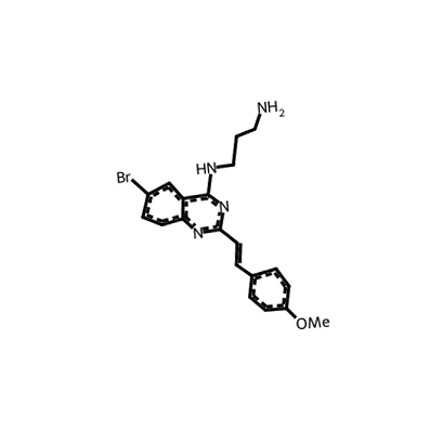 COc1ccc(C=Cc2nc(NCCCN)c3cc(Br)ccc3n2)cc1